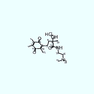 CC1=C(C)C(=O)C(CCC(C)(O)C(=O)NCCN(C)C)=C(C)C1=O.Cl